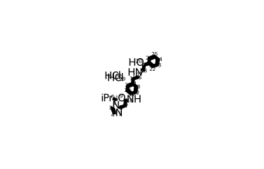 CC(C)Cn1ccnc1CC(=O)Nc1ccc(CCNCC(O)c2ccccc2)cc1.Cl.Cl